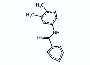 Cc1ccc(NC(=N)c2ccccc2)cc1C